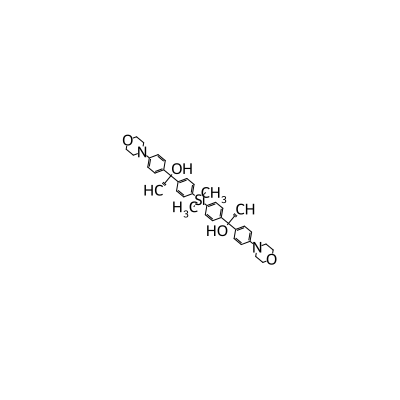 C#CC(O)(c1ccc(N2CCOCC2)cc1)c1ccc([Si](C)(C)c2ccc(C(O)(C#C)c3ccc(N4CCOCC4)cc3)cc2)cc1